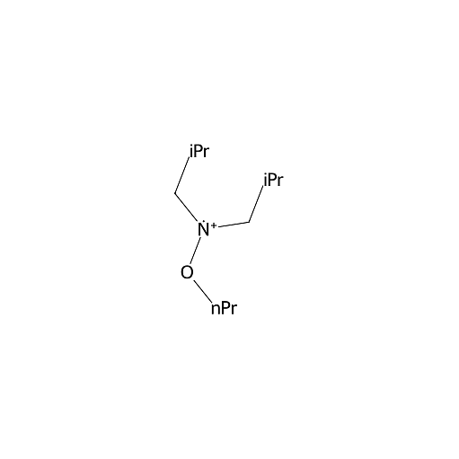 CCCO[N+](CC(C)C)CC(C)C